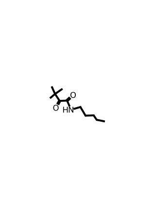 CCCCCNC(=O)C(=O)C(C)(C)C